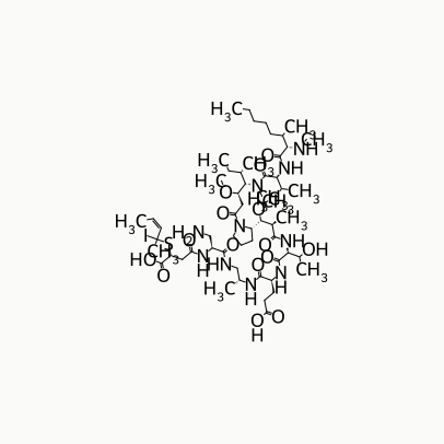 C/C=C\C(C)(I)SC(CC(=O)N[C@@H](CN)C(=O)NC[C@@H](C)NC(=O)[C@H](CCC(=O)O)NC(=O)[C@@H](NC(=O)[C@H](C)C(OC)[C@@H]1CCCN1C(=O)C[C@@H](OC)[C@H]([C@@H](C)CC)N(C)C(=O)[C@@H](NC(=O)[C@@H](NC)C(C)CCCCC)C(C)C)C(C)O)C(=O)O